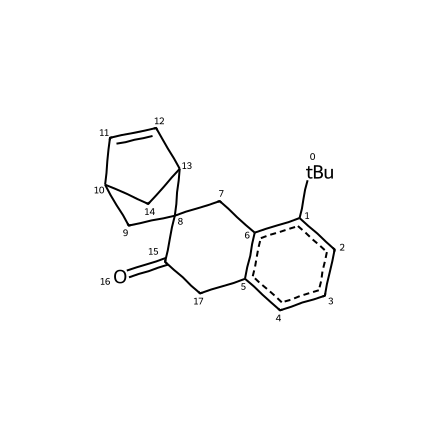 CC(C)(C)c1cccc2c1CC1(CC3C=CC1C3)C(=O)C2